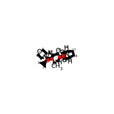 CN(CCN1CCOCC1)CCS(=O)(=O)N1[C@@H]2CC[C@H]1C[C@@H](NC(=O)c1cc(C3CC3)on1)C2